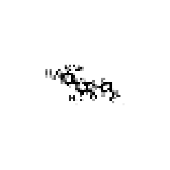 COC1CC(C2CC(C)C3C(=O)N(C4C=NN(CC(F)(F)F)C4)CC3=N2)C=NC1C